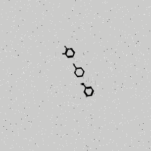 Cc1ccc(NCC2CCC(NC(=O)c3cc(C(F)(F)F)ccc3Cl)CC2)cc1Br